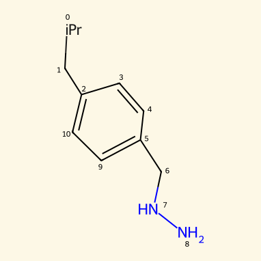 CC(C)Cc1ccc(CNN)cc1